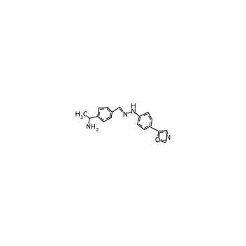 CC(N)c1ccc(C=NNc2ccc(-c3cnco3)cc2)cc1